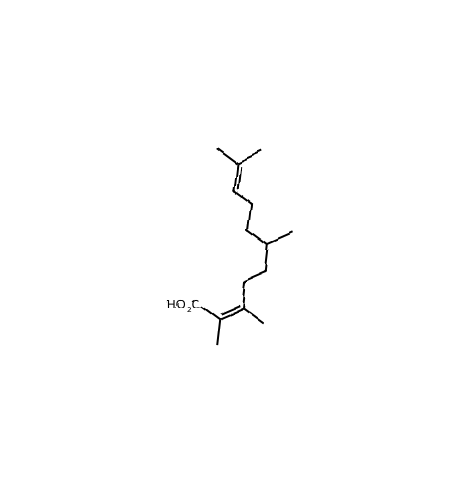 CC(C)=CCCC(C)CC/C(C)=C(/C)C(=O)O